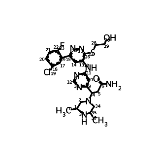 CC1CN(C(CC(N)=O)c2cc(Nc3cc(-c4cc(Cl)ccc4F)nnc3SCCO)ncn2)CC(C)N1